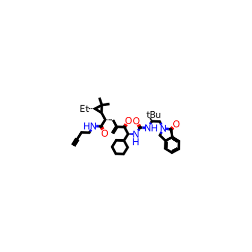 C#CCCNC(=O)[C@@H](CC(=C)C(=O)[C@@H](NC(=O)N[C@H](CN1Cc2ccccc2C1=O)C(C)(C)C)C1CCCCC1)C1[C@H](CC)C1(C)C